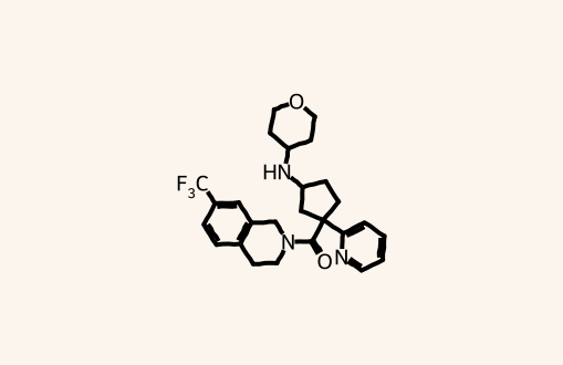 O=C(N1CCc2ccc(C(F)(F)F)cc2C1)C1(c2ccccn2)CCC(NC2CCOCC2)C1